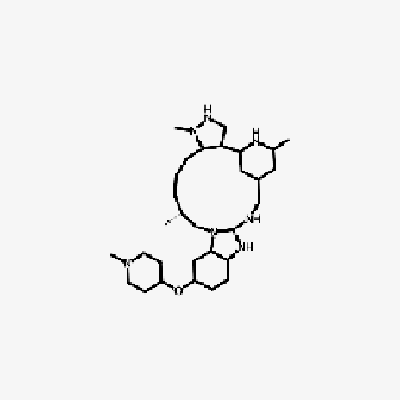 CC1CC2CNC3NC4CCC(OC5CCN(C)CC5)CC4N3C[C@H](C)CCCC3C(CNN3C)C(C2)N1